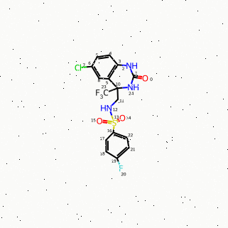 O=C1Nc2ccc(Cl)cc2C(CNS(=O)(=O)c2ccc(F)cc2)(C(F)(F)F)N1